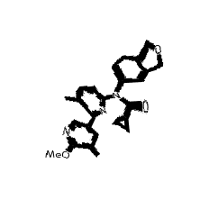 COc1ncc(-c2nc(N(C(=O)C3CC3)C3=CCC4=COCC4=C3)ccc2C)cc1C